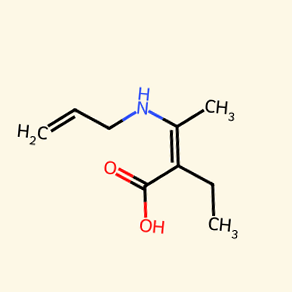 C=CCNC(C)=C(CC)C(=O)O